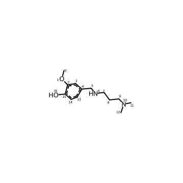 COc1cc(CNCCCN(C)C)ccc1O